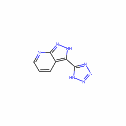 c1cnc2n[nH]c(-c3nnn[nH]3)c2c1